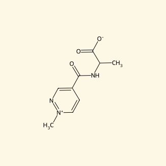 CC(NC(=O)c1cc[n+](C)nc1)C(=O)[O-]